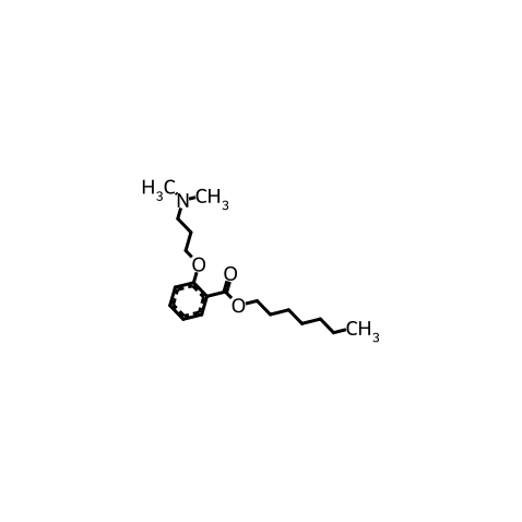 CCCCCCCOC(=O)c1ccccc1OCCCN(C)C